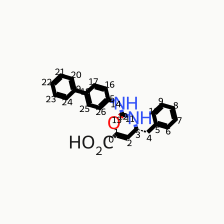 O=C(O)C=C[C@@H](Cc1ccccc1)NC(=O)Nc1ccc(-c2ccccc2)cc1